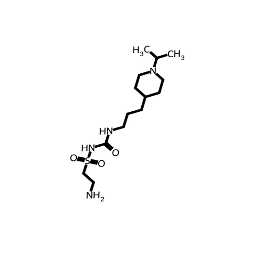 CC(C)N1CCC(CCCNC(=O)NS(=O)(=O)CCN)CC1